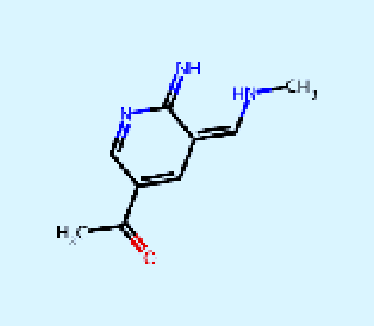 CN/C=C1/C=C(C(C)=O)C=NC1=N